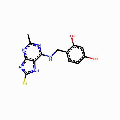 Cc1nc(NCc2ccc(O)cc2O)c2[nH]c(S)nc2n1